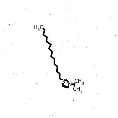 CCCCCCCCCCCCCCCN1C=CN(C(C)C)C1